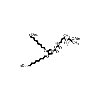 CCCCCCCCCCCCCCCCCCOC1CN(C(=O)OC(=O)NCCC(C)OCC(C)(C)OC)CC1OCCCCCCCCCCCCCCCCCC